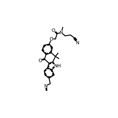 C=NCc1ccc2c3c([nH]c2c1)C(C)(C)c1cc(OCC(=O)N(C)CCC#N)ccc1C3=O